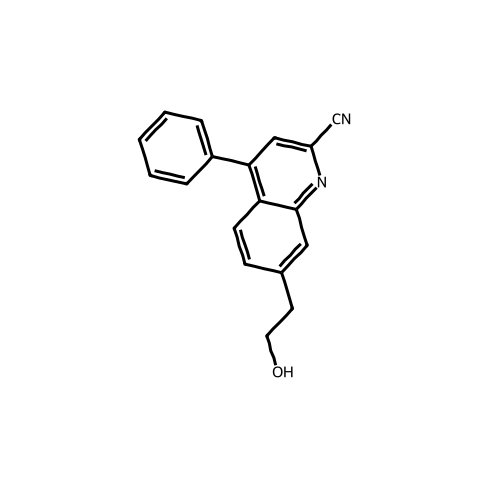 N#Cc1cc(-c2ccccc2)c2ccc(CCO)cc2n1